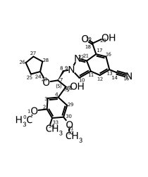 COc1cc([C@@H](O)[C@H](Cn2cc3cc(C#N)cc(C(=O)O)c3n2)OC2CCCC2)cc(OC)c1C